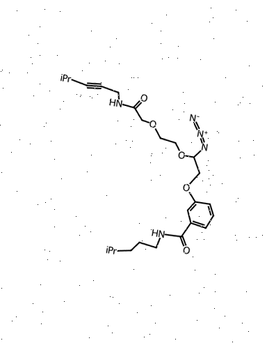 CC(C)C#CCNC(=O)COCCOC(COc1cccc(C(=O)NCCCC(C)C)c1)N=[N+]=[N-]